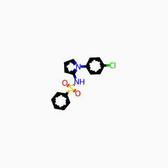 O=S(=O)(Nc1cccn1-c1ccc(Cl)cc1)c1ccccc1